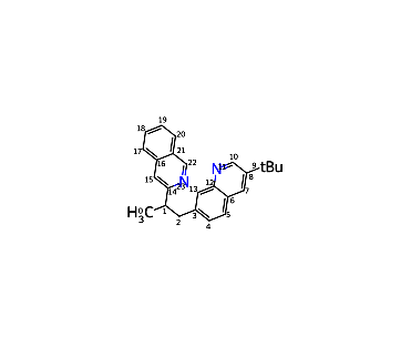 CC(Cc1ccc2cc(C(C)(C)C)cnc2c1)c1cc2ccccc2cn1